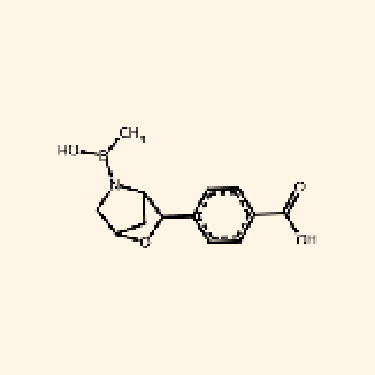 CB(O)N1CC2CC1C(c1ccc(C(=O)O)cc1)O2